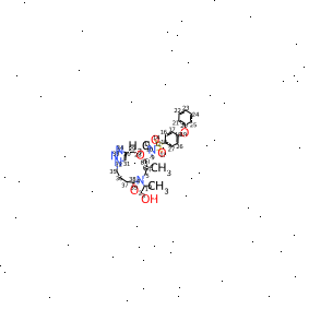 CC(CO)N1C[C@@H](C)[C@@H](CN(C)S(=O)(=O)c2ccc(Oc3ccccc3)cc2)OCc2cn(nn2)CCCC1=O